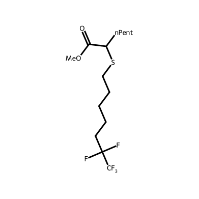 CCCCCC(SCCCCCC(F)(F)C(F)(F)F)C(=O)OC